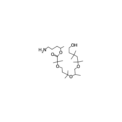 CC(CCCN)OC(=O)C(C)(C)OCCC(C)(C)OC(C)COC(C)(C)CC(C)(C)CCO